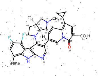 CNc1cc(F)c(F)c2c1[nH]c1ncc(-c3ccc4c(C5CC5)cc(C(=O)O)c(=O)n4c3)c(N3CC[C@H]4CN(C)C[C@H]43)c12